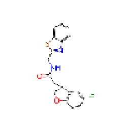 O=C(NCc1nc2ccccc2s1)C1C2Oc3ccc(F)cc3C21